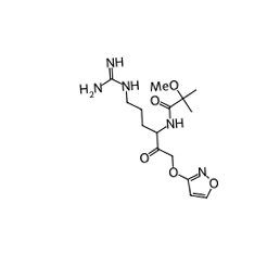 COC(C)(C)C(=O)NC(CCCNC(=N)N)C(=O)COc1ccon1